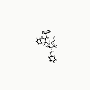 CCOC(=O)[C@H](CCc1ccccc1)N[C@@H](C)C(=O)N(CC(=O)O)Cc1ccco1